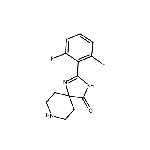 O=C1NC(c2c(F)cccc2F)=NC12CCNCC2